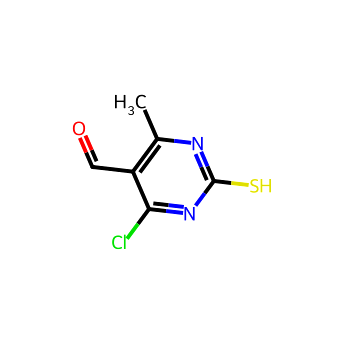 Cc1nc(S)nc(Cl)c1C=O